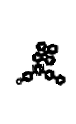 Clc1ccc(-c2nc(-c3ccc(-c4ccccc4)cc3)nc(-c3cccc4c3-c3ccccc3C4(c3ccccc3)c3ccccc3)n2)cc1